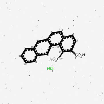 Cl.O=C(O)c1ccc2ccc3cc4ccccc4cc3c2c1C(=O)O